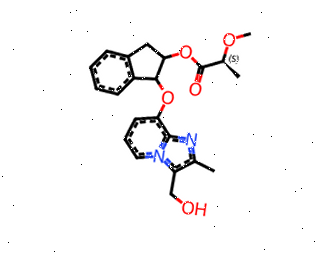 CO[C@@H](C)C(=O)OC1Cc2ccccc2C1Oc1cccn2c(CO)c(C)nc12